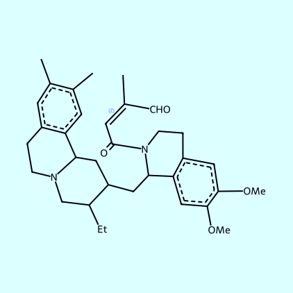 CCC1CN2CCc3cc(C)c(C)cc3C2CC1CC1c2cc(OC)c(OC)cc2CCN1C(=O)/C=C(/C)C=O